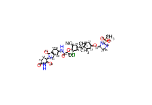 CCC(Oc1c(Cl)cc(C(C)(C)c2ccc(OCc3ccnc(S(C)(=O)=O)n3)cc2)cc1C#N)C(=O)Nc1ccc2c(c1)CN(C1CCC(=O)NC1=O)C2=O